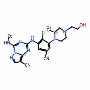 CCNc1nc(Nc2cc(C#N)cc(N3CCN(CCO)C[C@@H]3C)c2Cl)nc2c(C#N)cnn12